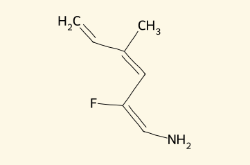 C=C/C(C)=C\C(F)=C/N